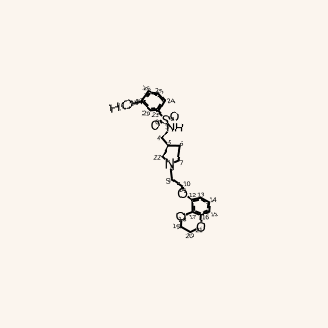 O=S(=O)(NCC1CCN(CCOc2cccc3c2OCCO3)C1)c1cccc(O)c1